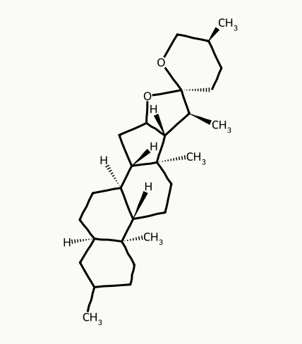 CC1CC[C@@]2(C)[C@H](CC[C@@H]3[C@@H]2CC[C@]2(C)[C@@H]4C(C[C@@H]32)O[C@]2(CC[C@H](C)CO2)[C@H]4C)C1